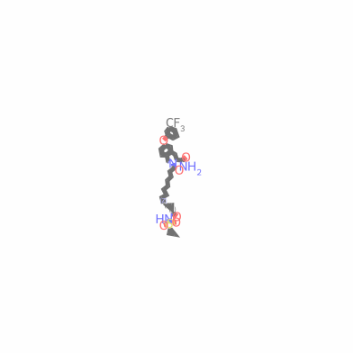 NC(=O)C1Cc2cc(Oc3cccc(C(F)(F)F)c3)ccc2CN1C(=O)CCCCCC/C=C\[C@@H]1C[C@@H]1C(=O)NS(=O)(=O)C1CC1